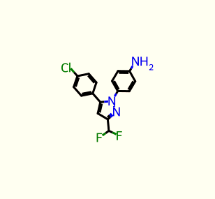 Nc1ccc(-n2nc(C(F)F)cc2-c2ccc(Cl)cc2)cc1